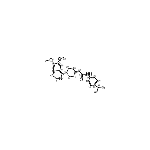 COc1cc2ncnc(N3CCC(CC(=O)Nc4ccc(C(C)C)cc4)CC3)c2cc1OC